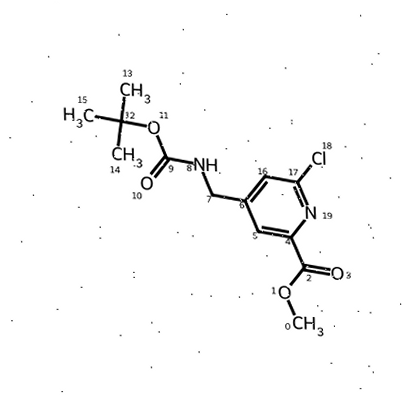 COC(=O)c1cc(CNC(=O)OC(C)(C)C)cc(Cl)n1